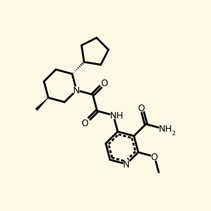 COc1nccc(NC(=O)C(=O)N2C[C@@H](C)CC[C@@H]2C2CCCC2)c1C(N)=O